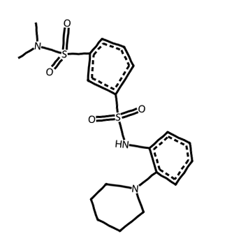 CN(C)S(=O)(=O)c1cccc(S(=O)(=O)Nc2ccccc2N2CCCCC2)c1